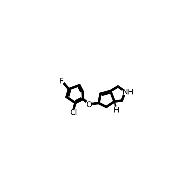 Fc1ccc(OC2C=C3CNC[C@@H]3C2)c(Cl)c1